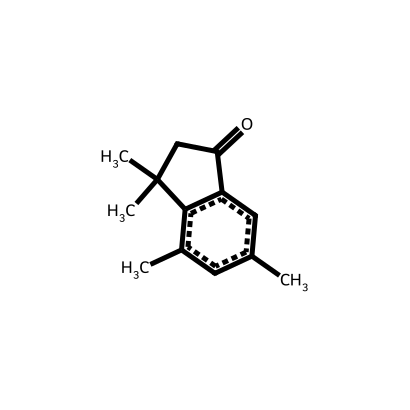 Cc1cc(C)c2c(c1)C(=O)CC2(C)C